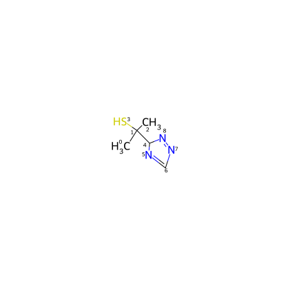 CC(C)(S)C1N=CN=N1